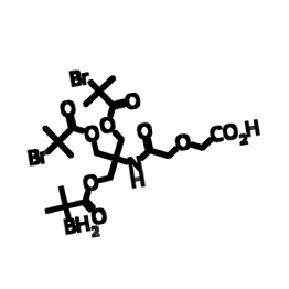 BC(C)(C)C(=O)OCC(COC(=O)C(C)(C)Br)(COC(=O)C(C)(C)Br)NC(=O)COCC(=O)O